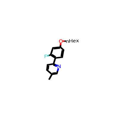 CCCCCCOc1ccc(-c2ccc(C)cn2)c(F)c1